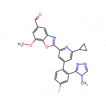 COc1cc(C=O)cc2nc(-c3cc(-c4ccc(F)cc4-c4nncn4C)cc(C4CC4)n3)oc12